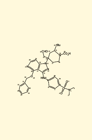 CN(C)S(=O)(=O)c1ccc(Nc2nn(C3(CC=O)CCN(C(=O)O)C(C(C)(C)C)C3)c3ccnc(OCc4ccccc4)c23)cc1